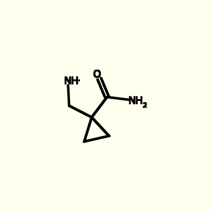 [NH]CC1(C(N)=O)CC1